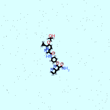 CC(C)(O)COc1ccc2c(C(=O)NC3CCC(Oc4nc5ncccc5cc4C(N)=O)CC3)cnn2c1C1CC1